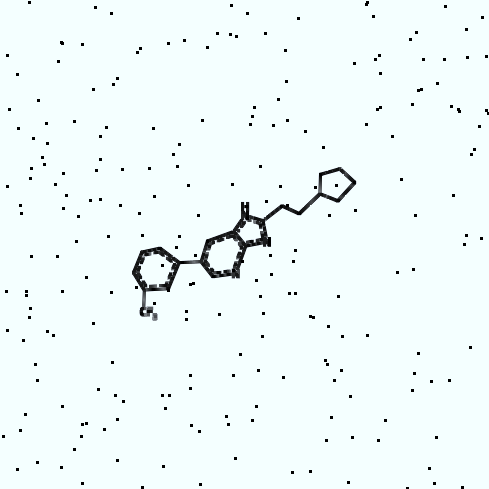 FC(F)(F)c1cccc(-c2cnc3nc(CCC4CCCC4)[nH]c3c2)c1